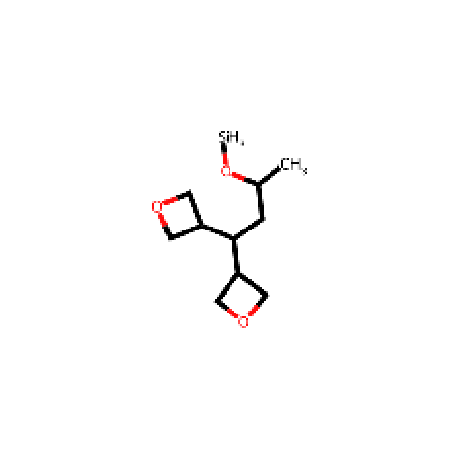 CC(CC(C1COC1)C1COC1)O[SiH3]